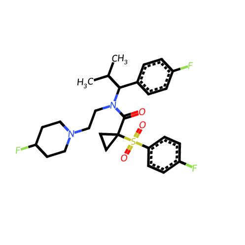 CC(C)C(c1ccc(F)cc1)N(CCN1CCC(F)CC1)C(=O)C1(S(=O)(=O)c2ccc(F)cc2)CC1